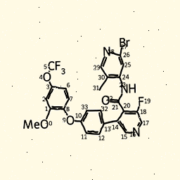 COc1cc(OC(F)(F)F)ccc1Oc1ccc(-c2cncc(F)c2C(=O)Nc2cc(Br)ncc2C)cc1